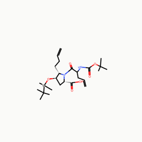 C=CCC[C@H]1[C@H](O[Si](C)(C)C(C)(C)C)C[C@@H](C(=O)O)N1C(=O)C(CC=C)NC(=O)OC(C)(C)C